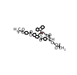 C#CC(=O)OCCCN(/N=C/c1c(OC(=O)c2ccc(OCCOCCOC(=O)C(=C)F)cc2)ccc2cc(OC(=O)c3ccc(OC(=O)C(=C)F)cc3)ccc12)C1c2ccccc2-c2ccccc21